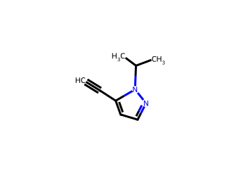 C#Cc1ccnn1C(C)C